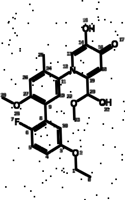 CCOc1ccc(F)c(-c2cc(-n3cc(O)c(=O)cc3C(O)OC)c(C)cc2OC)c1